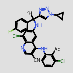 [2H]C(Nc1cc(Cl)c2ncc(C#N)c(Nc3cccc(Cl)c3C(C)=O)c2c1)(c1ccc(F)cc1)c1cn(C2CC2)nn1